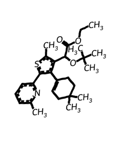 CCOC(=O)C(OC(C)(C)C)c1c(C)sc(-c2cccc(C)n2)c1C1=CCC(C)(C)CC1